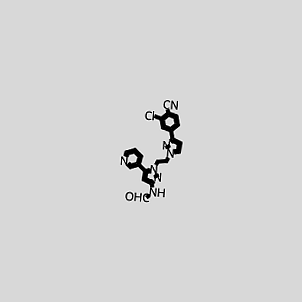 N#Cc1ccc(-c2ccn(CCn3nc(NC=O)cc3-c3cccnc3)n2)cc1Cl